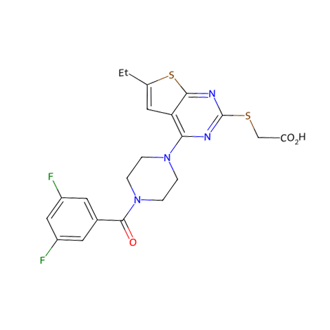 CCc1cc2c(N3CCN(C(=O)c4cc(F)cc(F)c4)CC3)nc(SCC(=O)O)nc2s1